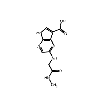 CNC(=O)CNc1cnc2[nH]cc(C(=O)O)c2n1